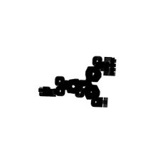 CCN(CC)C(=O)c1ccc(C2=CC3(CCN(C(=O)OC(C)(C)C)CC3)Oc3cc(O)ccc32)cc1